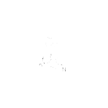 CN=Cc1ccc([N+](=O)[O-])c(OCc2ccccc2)c1